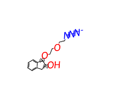 [N-]=[N+]=NCCOCCO[C@H]1c2ccccc2C[C@H]1O